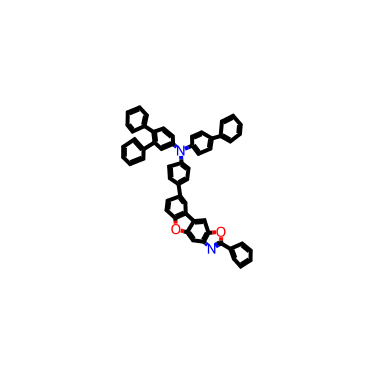 c1ccc(-c2ccc(N(c3ccc(-c4ccc5oc6cc7nc(-c8ccccc8)oc7cc6c5c4)cc3)c3ccc(-c4ccccc4)c(-c4ccccc4)c3)cc2)cc1